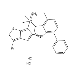 CC1=Cc2c(-c3ccccc3)ccc(C)c2[CH]1[Zr]([CH3])([CH3])(=[SiH2])[C]1=C2SCC(C(C)C)=C2C=C1C(C)C.Cl.Cl